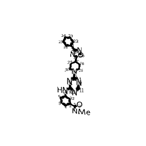 CNC(=O)c1cccc(Nc2ncnc(N3CCC(c4nc(-c5ccccc5)no4)CC3)n2)c1